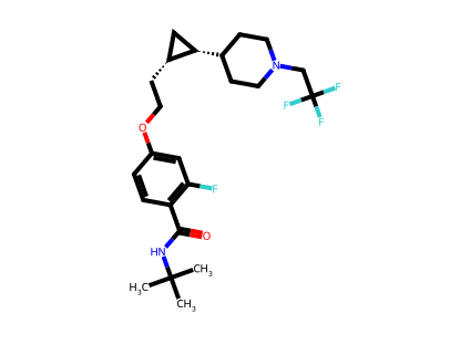 CC(C)(C)NC(=O)c1ccc(OCC[C@@H]2C[C@@H]2C2CCN(CC(F)(F)F)CC2)cc1F